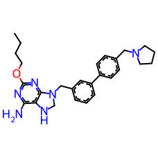 CCCCOc1nc(N)c2c(n1)N(Cc1cccc(-c3ccc(CN4CCCC4)cc3)c1)CN2